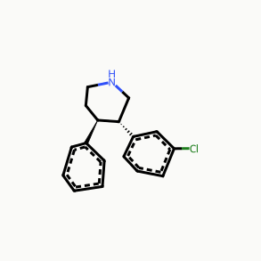 Clc1cccc([C@H]2CNCC[C@@H]2c2ccccc2)c1